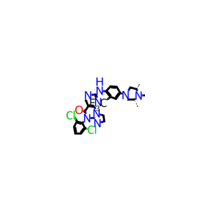 C[C@@H]1CN(c2ccc(Nc3ncc4c(n3)N3CCN=C3N(c3c(Cl)cccc3Cl)C4=O)c(C(F)(F)F)c2)C[C@H](C)N1C